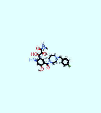 COC1=CC(=N)/C(=C(\O)C(=O)C(=O)N(C)C)C=C1C(=O)N1CCCN(Cc2ccc(F)cc2)CC1